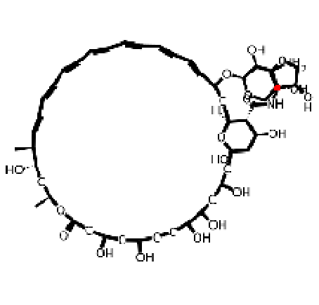 C[C@H]1C[C@H](O)[C@@H](C)/C=C/C=C/C=C/C=C/C=C/C=C/C=C/C(O[C@@H]2OC[C@@H](O)[C@H](N)[C@@H]2O)C[C@@H]2OC(O)(CC(O)CC(O)C(O)CCC(O)CC(O)CC(=O)O1)C[C@H](O)[C@H]2C(=O)N[C@H]1COCC1O